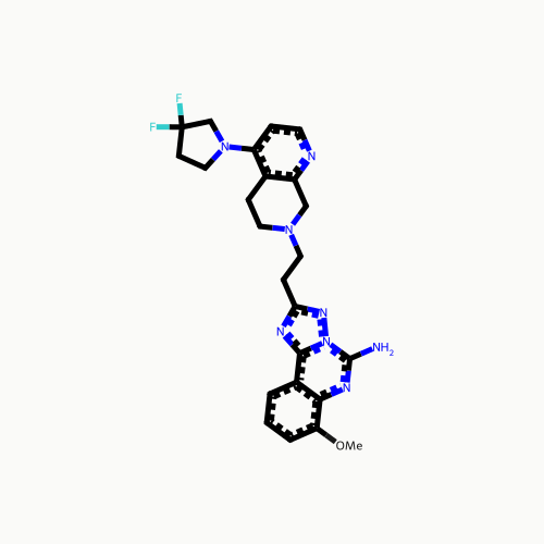 COc1cccc2c1nc(N)n1nc(CCN3CCc4c(N5CCC(F)(F)C5)ccnc4C3)nc21